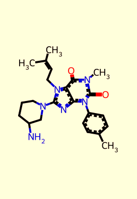 CC(C)=CCn1c(N2CCCC(N)C2)nc2c1c(=O)n(C)c(=O)n2-c1ccc(C)cc1